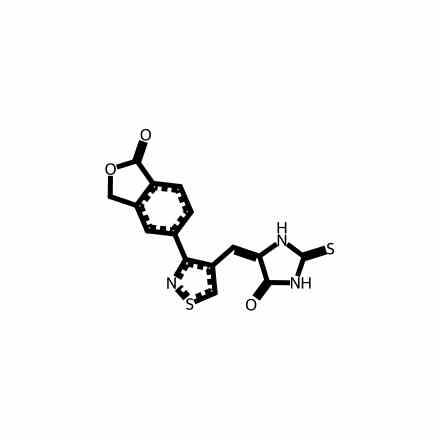 O=C1NC(=S)NC1=Cc1csnc1-c1ccc2c(c1)COC2=O